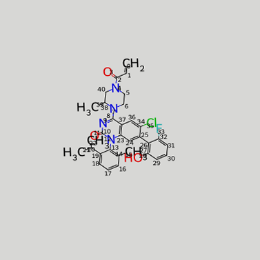 C=CC(=O)N1CCN(c2nc(=O)n(-c3c(C)cccc3C(C)C)c3cc(-c4c(O)cccc4F)c(Cl)cc23)C(C)C1